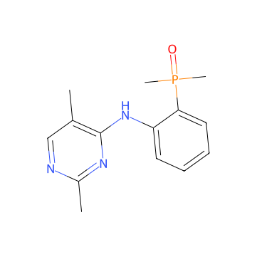 Cc1ncc(C)c(Nc2ccccc2P(C)(C)=O)n1